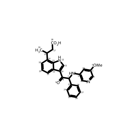 COc1cncc(NC(C(=O)c2c[nH]c3c(C(C)CC(=O)O)cccc23)c2ccccc2)c1